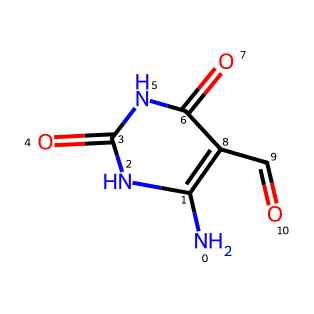 Nc1[nH]c(=O)[nH]c(=O)c1C=O